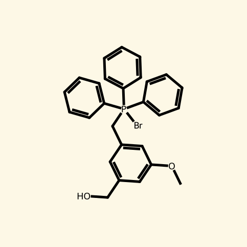 COc1cc(CO)cc(CP(Br)(c2ccccc2)(c2ccccc2)c2ccccc2)c1